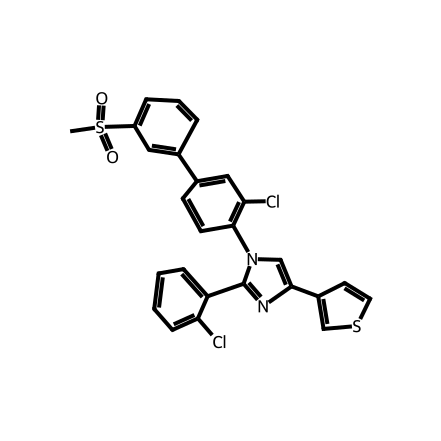 CS(=O)(=O)c1cccc(-c2ccc(-n3cc(-c4ccsc4)nc3-c3ccccc3Cl)c(Cl)c2)c1